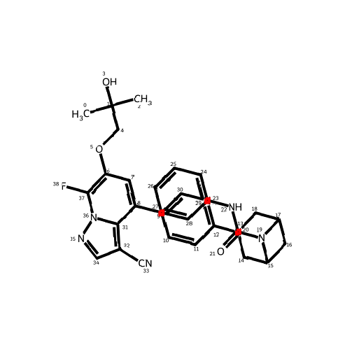 CC(C)(O)COc1cc(-c2ccc(N3CC4CC(C3)N4C(=O)Nc3ccccc3)nc2)c2c(C#N)cnn2c1F